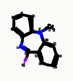 CN1c2ccccc2N=C(I)c2ccccc21